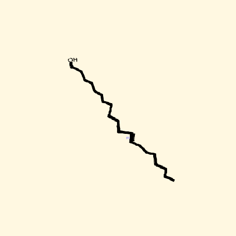 CCCCCCC/C=C/CCCCCCCCCCCO